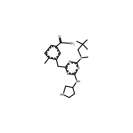 Cc1ccc(C(N)=O)cc1Cc1nc(NC2CCNC2)nc(N(C)CC(C)(C)C)n1